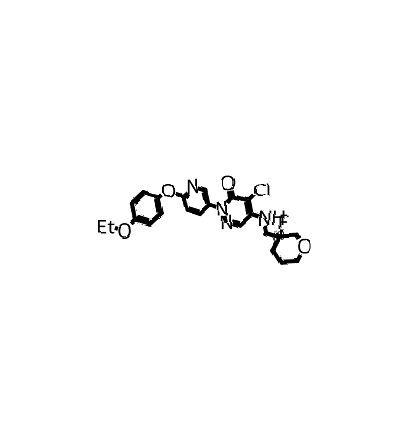 CCOc1ccc(Oc2ccc(-n3ncc(NC[C@@]4(F)CCCOC4)c(Cl)c3=O)cn2)cc1